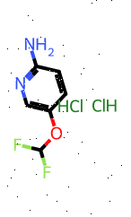 Cl.Cl.Nc1ccc(OC(F)F)cn1